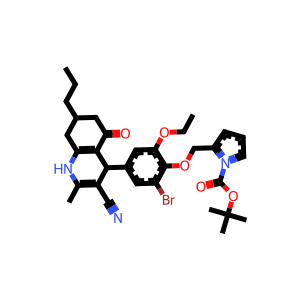 CCCC1CC(=O)C2=C(C1)NC(C)=C(C#N)C2c1cc(Br)c(OCc2cccn2C(=O)OC(C)(C)C)c(OCC)c1